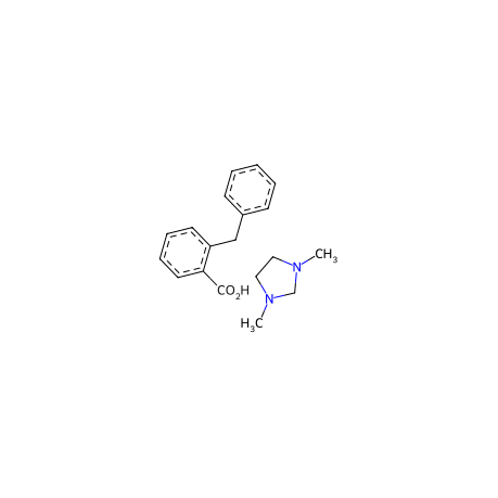 CN1CCN(C)C1.O=C(O)c1ccccc1Cc1ccccc1